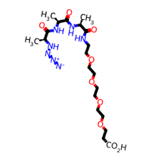 C[C@H](NN=[N+]=[N-])C(=O)N[C@@H](C)C(=O)N[C@@H](C)C(=O)NCCOCCOCCOCCOCCC(=O)O